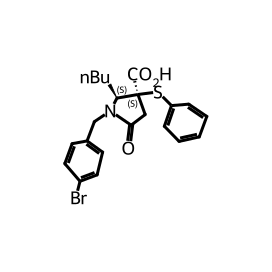 CCCC[C@@H]1N(Cc2ccc(Br)cc2)C(=O)C[C@@]1(Sc1ccccc1)C(=O)O